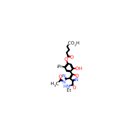 CCNC(=O)c1noc(-c2cc(C(C)C)c(OC(=O)CCCC(=O)O)cc2O)c1-c1noc(C)n1